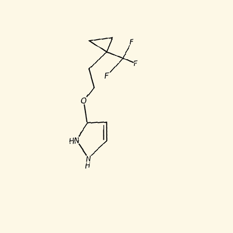 FC(F)(F)C1(CCOC2C=CNN2)CC1